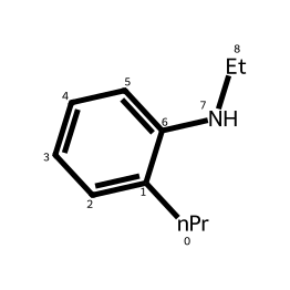 CCCc1ccccc1NCC